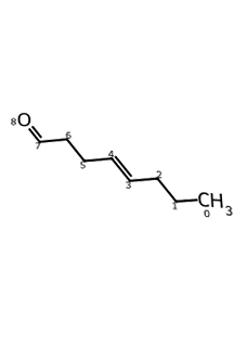 CCCC=CCCC=O